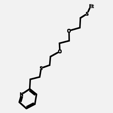 CCSCCOCCOCCSCCc1ccccn1